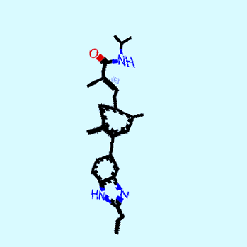 CCc1nc2cc(-c3cc(C)c(/C=C(\C)C(=O)NC(C)C)cc3C)ccc2[nH]1